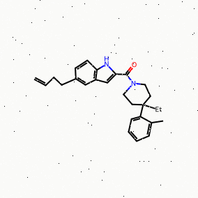 C=CCCc1ccc2[nH]c(C(=O)N3CCC(CC)(c4ccccc4C)CC3)cc2c1